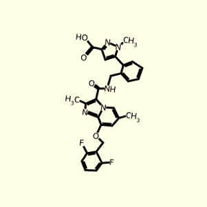 Cc1cc(OCc2c(F)cccc2F)c2nc(C)c(C(=O)NCc3ccccc3-c3cc(C(=O)O)nn3C)n2c1